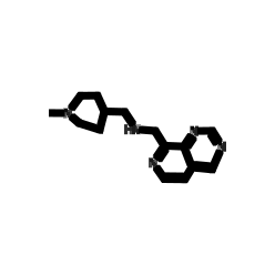 CN1CCC(CNCc2nccc3cncnc23)CC1